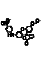 COCOc1ccc2c(c1)Oc1cc(Nc3ccc([N+](=O)[O-])cc3)ccc1C21OC(=O)c2ccccc21